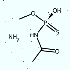 CO[P@](O)(=S)NC(C)=O.N